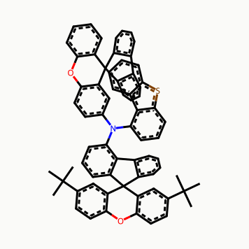 CC(C)(C)c1ccc2c(c1)C1(c3cc(C(C)(C)C)ccc3O2)c2ccccc2-c2c(N(c3ccc4c(c3)C3(c5ccccc5O4)c4ccccc4-c4ccccc43)c3cccc4sc5ccccc5c34)cccc21